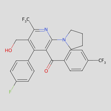 O=C(c1ccc(C(F)(F)F)cc1)c1c(N2CCCC2)nc(C(F)(F)F)c(CO)c1-c1ccc(F)cc1